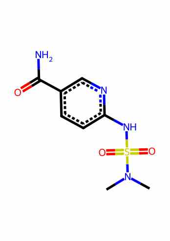 CN(C)S(=O)(=O)Nc1ccc(C(N)=O)cn1